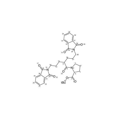 CC(C)(C)OC(=O)C1CCCN1C(=O)C(CCCN1C(=O)c2ccccc2C1=O)CCCN1C(=O)c2ccccc2C1=O